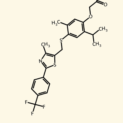 Cc1cc(OCC(=O)O)c(C(C)C)cc1SCc1sc(-c2ccc(C(F)(F)F)cc2)nc1C